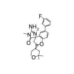 CN1C(=O)C2(C[C@H](C3CCOC(C)(C)C3)Oc3ccc(-c4cccc(F)c4)cc32)N=C1N